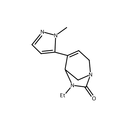 CCN1C(=O)N2CC=C(c3ccnn3C)C1C2